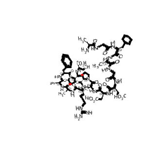 CC(C)[C@H](NC(=O)[C@H](C)NC(=O)[C@H](CCCNC(=N)N)NC(=O)[C@@H]1CCCN1C(=O)[C@H](C)NC(=O)[C@H](CC(=O)O)NC(=O)[C@H](CC(=O)O)NC(=O)CNC(=O)[C@H](C)NC(=O)[C@H](Cc1ccccc1)NC(=O)CNC(=O)[C@H](C)N)C(=O)N[C@@H](Cc1ccccc1)C(=O)N1CCC[C@H]1C(=O)N[C@@H](CO)C(=O)O